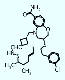 C[C@@H](C/C=C/C[C@@H]1CC[C@H]1CN1CC(SCCc2cccc(Cl)c2)COc2ccc(C(N)=O)cc21)[C@@H](C)SNC=O